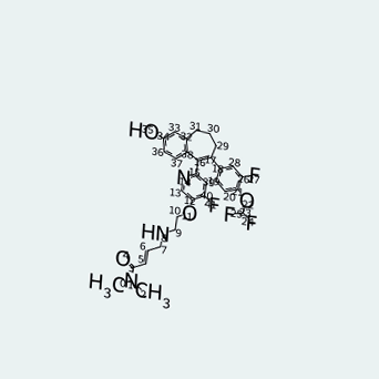 CN(C)C(=O)/C=C/CNCCOc1cnc(C2=C(c3ccc(OC(F)F)c(F)c3)CCCc3cc(O)ccc32)cc1F